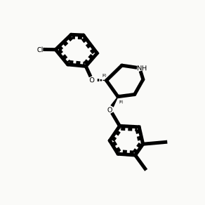 Cc1ccc(O[C@@H]2CCNC[C@H]2Oc2cccc(Cl)c2)cc1C